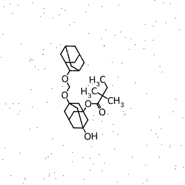 CCC(C)(C)C(=O)OC12CC3CC(O)(CC(OCOC4C5CC6CC(C5)CC4C6)(C3)C1)C2